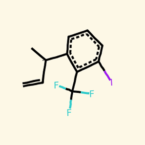 C=C[C](C)c1cccc(I)c1C(F)(F)F